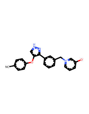 N#Cc1ccc(Oc2c[nH]nc2-c2cccc(C[n+]3cccc([O-])c3)c2)cc1